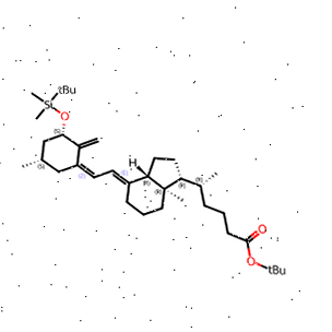 C=C1/C(=C\C=C2/CCC[C@]3(C)[C@@H]([C@H](C)CCCC(=O)OC(C)(C)C)CC[C@@H]23)C[C@H](C)C[C@@H]1O[Si](C)(C)C(C)(C)C